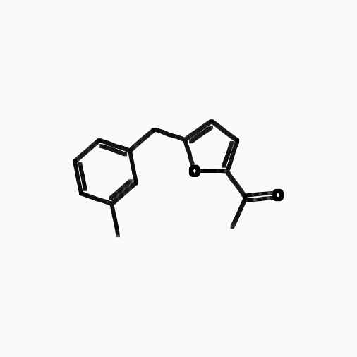 CC(=O)c1ccc(Cc2cccc(C)c2)o1